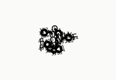 O=C(c1[nH]ccc(=O)c1OCc1ccccc1)N(CCc1ccc(F)cc1)CNC12C(=Cc3ccccc31)Cc1c2ccc(F)c1F